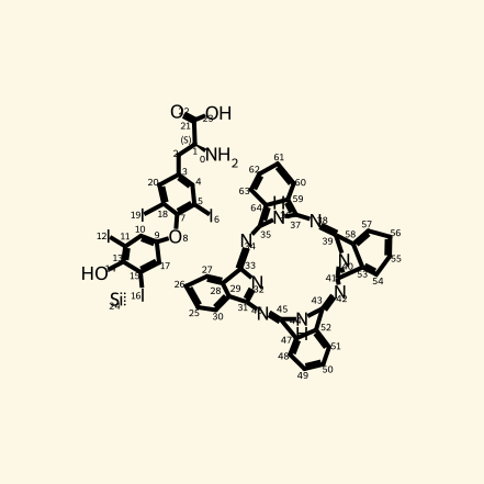 N[C@@H](Cc1cc(I)c(Oc2cc(I)c(O)c(I)c2)c(I)c1)C(=O)O.[Si].c1ccc2c(c1)-c1nc-2nc2[nH]c(nc3nc(nc4[nH]c(n1)c1ccccc41)-c1ccccc1-3)c1ccccc21